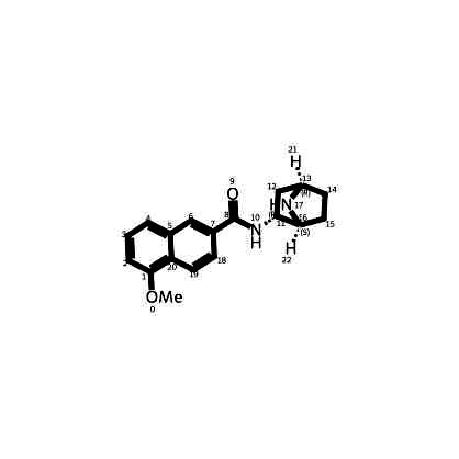 COc1cccc2cc(C(=O)N[C@@H]3C[C@H]4CC[C@@H]3N4)ccc12